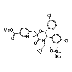 COC(=O)c1ccc(C[C@]2(C)O[C@H](c3cccc(Cl)c3)C(c3ccc(Cl)cc3)N([C@H](CO[Si](C)(C)C(C)(C)C)C3CC3)C2=O)nc1